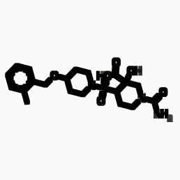 Cc1ccccc1COC1CCN(S(=O)(=O)C2CCN(C(N)=O)CC2(O)C(=O)O)CC1